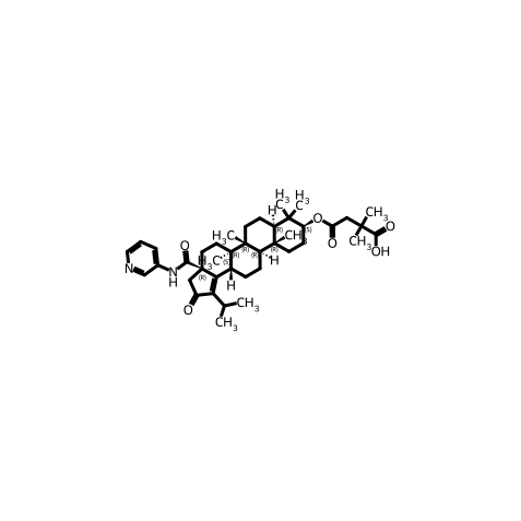 CC(C)C1=C2[C@H]3CC[C@@H]4[C@@]5(C)CC[C@H](OC(=O)CC(C)(C)C(=O)O)C(C)(C)[C@@H]5CC[C@@]4(C)[C@]3(C)CC[C@@]2(C(=O)Nc2cccnc2)CC1=O